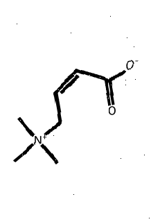 C[N+](C)(C)C/C=C\C(=O)[O-]